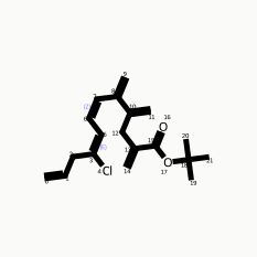 C=CC/C(Cl)=C\C=C/C(=C)C(=C)CC(=C)C(=O)OC(C)(C)C